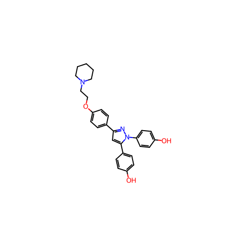 Oc1ccc(-c2cc(-c3ccc(OCCN4CCCCC4)cc3)nn2-c2ccc(O)cc2)cc1